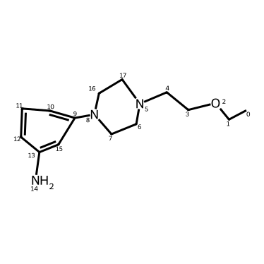 CCOCCN1CCN(c2cccc(N)c2)CC1